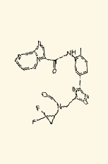 Cc1ccc(-c2noc(CN(C=O)C3CC3(F)F)n2)cc1NC(=O)c1cnc2ccccn12